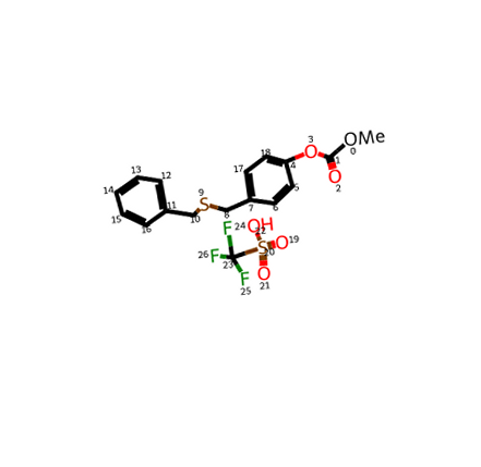 COC(=O)Oc1ccc(CSCc2ccccc2)cc1.O=S(=O)(O)C(F)(F)F